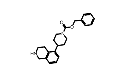 O=C(OCc1ccccc1)N1CCC(c2cccc3c2CCNC3)CC1